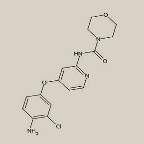 Nc1ccc(Oc2ccnc(NC(=O)N3CCOCC3)c2)cc1Cl